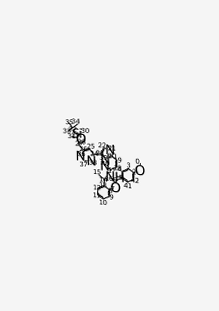 COc1ccc(COc2ccccc2C(C)Nc2ccc3ncc(-c4cc(CO[Si](C)(C)C(C)(C)C)ncn4)n3n2)cc1